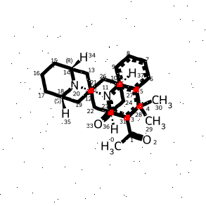 CC(=O)c1nc2ccccc2n([C@H]2C[C@H]3CCC[C@@H](C2)N3[C@H]2C[C@H]3C[C@@H](C2)CC(C)(C)C3)c1=O